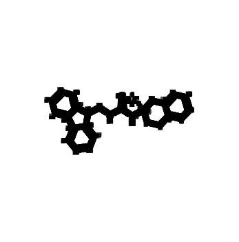 O=C(N[C@]1(C(=O)O)CCc2ccccc2C1)OCC1c2ccccc2-c2ccccc21